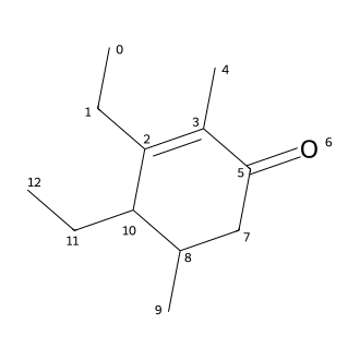 CCC1=C(C)C(=O)CC(C)C1CC